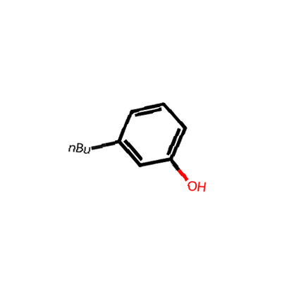 C[CH]CCc1cccc(O)c1